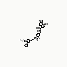 O=C(O)Nc1ccc(CCCCn2c(=O)oc3cc(CNC[C@@H](O)c4ccc(O)c5[nH]c(=O)ccc45)ccc32)cc1-c1ccccc1